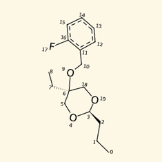 CCC[C@H]1OC[C@@](CC)(OCc2ccccc2F)CO1